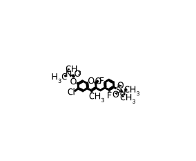 Cc1c(Cc2c(F)ccc(S(=O)(=O)N(C)C)c2F)c(=O)oc2cc(OC(=O)N(C)C)c(Cl)cc12